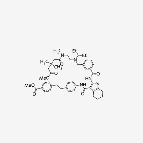 CCC(CC)N(CCN(C)C(=O)CC(C)(C)CC(=O)OC)Cc1cccc(C(=O)Nc2sc3c(c2C(=O)Nc2ccc(CCc4ccc(C(=O)OC)cc4)cc2)CCCC3)c1